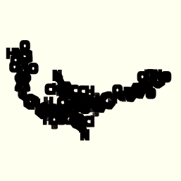 CC1(C)[C@H](NC(=O)c2ccc3c(c2)CCN(C(=O)CN2Cc4cc5c(cc4C2)C(=O)N(C2CCC(=O)NC2=O)C5=O)CC3)C(C)(CCC2(C)[C@@H](Oc3ccc(C#N)c(Cl)c3)C(C)(C)[C@@H]2N2Cc3cc(N4CCC(CN5Cc6cc7c(cc6C5)C(=O)N(C5CCC(=O)NC5=O)C7=O)CC4)ccc3C2=O)[C@H]1Oc1ccc(C#N)c(Cl)c1